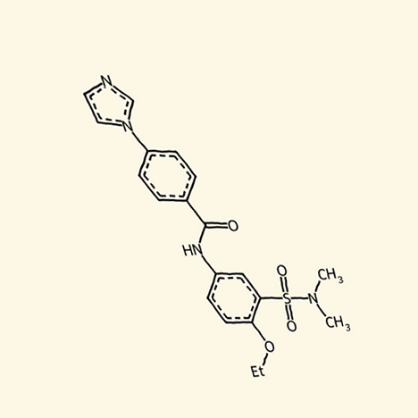 CCOc1ccc(NC(=O)c2ccc(-n3ccnc3)cc2)cc1S(=O)(=O)N(C)C